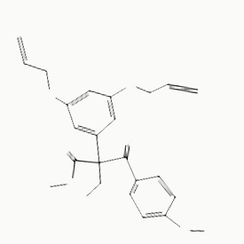 C=CCOc1cc(OCC=C)cc(C(CC)(C(=O)OC)C(=O)c2ccc(OC)cc2)c1